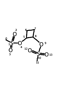 CS(=O)(=O)OC1CCC1OS(C)(=O)=O